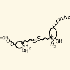 CCCCCCCCCOCOC1CCC(O)[SiH2]N(CCCSSCCCN2CCC(OCOCCCCCCCCC)CCC(O)[SiH2]2)CC1